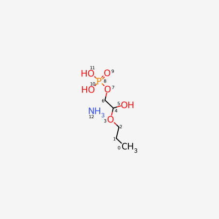 CCCOC(O)COP(=O)(O)O.N